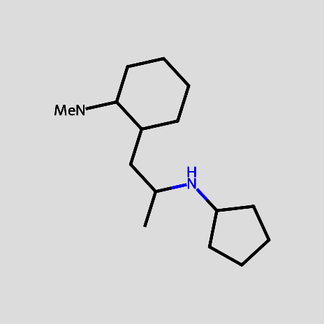 CNC1CCCCC1CC(C)NC1CCCC1